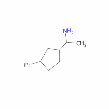 CC(C)C1CCC(C(C)N)C1